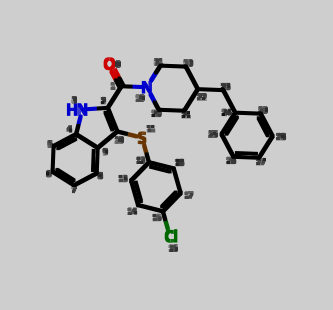 O=C(c1[nH]c2ccccc2c1Sc1ccc(Cl)cc1)N1CCC(Cc2ccccc2)CC1